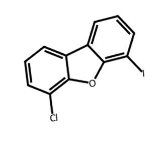 Clc1cccc2c1oc1c(I)cccc12